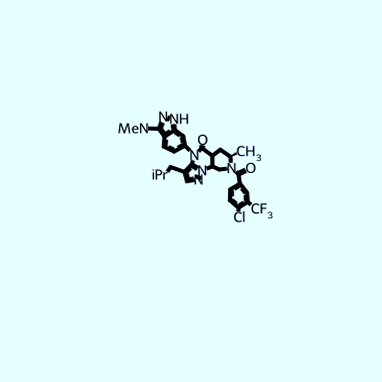 CNc1n[nH]c2cc(N3C(=O)C4C[C@@H](C)N(C(=O)c5ccc(Cl)c(C(F)(F)F)c5)CC4n4ncc(CC(C)C)c43)ccc12